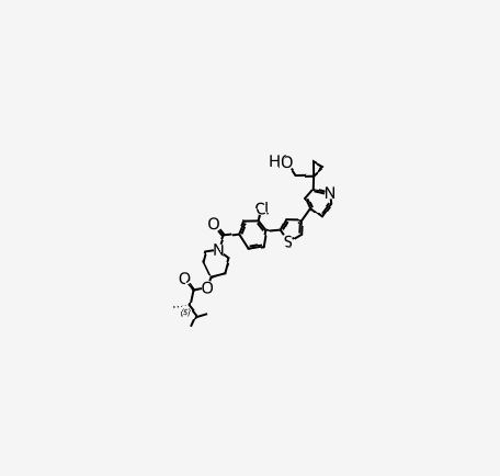 CC(C)[C@H](C)C(=O)OC1CCN(C(=O)c2ccc(-c3cc(-c4ccnc(C5(CO)CC5)c4)cs3)c(Cl)c2)CC1